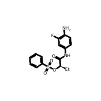 CC[C@@H](OS(=O)(=O)c1ccccc1)C(=O)Nc1ccc(N)c(F)c1